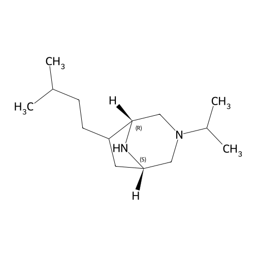 CC(C)CCC1C[C@H]2CN(C(C)C)C[C@@H]1N2